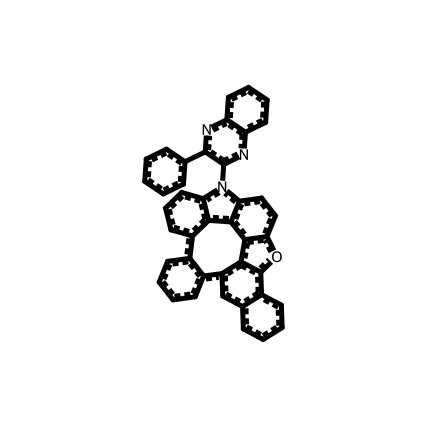 c1ccc(-c2nc3ccccc3nc2-n2c3cccc4c5ccccc5c5cc6ccccc6c6oc7ccc2c(c7c56)c43)cc1